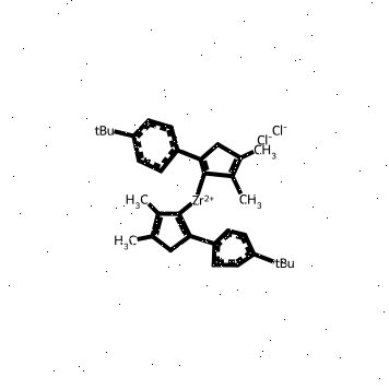 CC1=C(C)[C]([Zr+2][C]2=C(c3ccc(C(C)(C)C)cc3)CC(C)=C2C)=C(c2ccc(C(C)(C)C)cc2)C1.[Cl-].[Cl-]